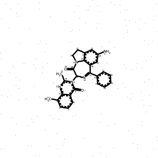 Cc1cccc2c(=O)n(C3N=C(c4ccccc4)c4cc(N)cc5c4N(CC5)C3=O)c(C)nc12